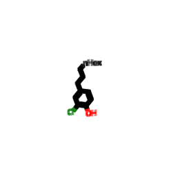 CCCCCCCCCc1ccc(O)c(Cl)c1